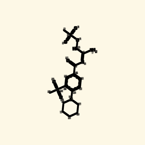 CS(=O)(=O)ONC(N)=NC(=O)c1ccc(N2CCCCC2)c(S(C)(=O)=O)c1